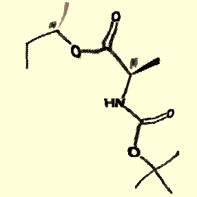 CC[C@H](C)OC(=O)[C@@H](C)NC(=O)OC(C)(C)C